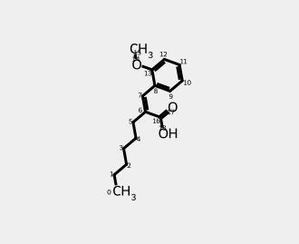 CCCCCC/C(=C/c1ccccc1OC)C(=O)O